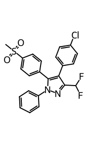 CS(=O)(=O)c1ccc(-c2c(-c3ccc(Cl)cc3)c(C(F)F)nn2-c2ccccc2)cc1